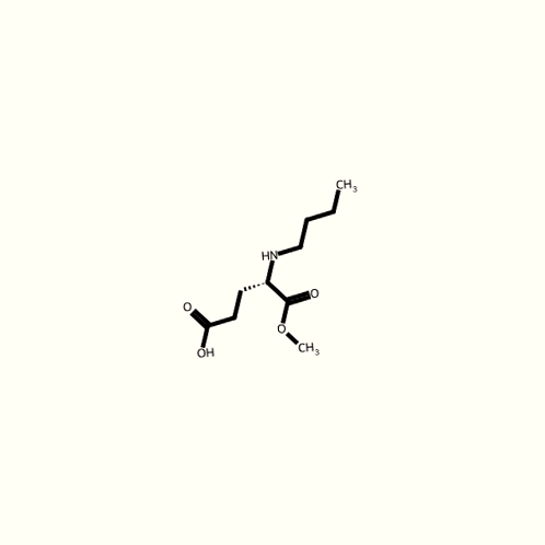 CCCCN[C@@H](CCC(=O)O)C(=O)OC